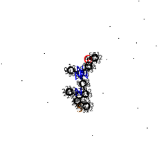 c1ccc(-c2nc(-c3ccc(-c4cccc5c4nc(-c4ccccc4)c4ccc6sc7ccccc7c6c45)cc3)nc(-c3ccc4c(c3)oc3ccccc34)n2)cc1